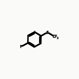 Fc1c[c]c(SC(F)(F)F)cc1